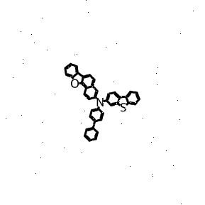 c1ccc(-c2ccc(N(c3ccc4c(ccc5c6ccccc6oc45)c3)c3ccc4c(c3)sc3ccccc34)cc2)cc1